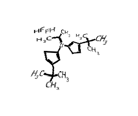 C[C](C)=[Zr]([C]1=CC(C(C)(C)C)=CC1)[C]1=CC(C(C)(C)C)=CC1.F.F